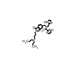 CCCN(CCC)CCCCN1Cc2cc(CN(Cc3ncc[nH]3)C(C)c3ncc[nH]3)ccc2C1=O